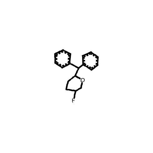 FC1CCC(C(c2ccccc2)c2ccccc2)OC1